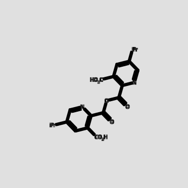 CC(C)c1cnc(C(=O)OC(=O)c2ncc(C(C)C)cc2C(=O)O)c(C(=O)O)c1